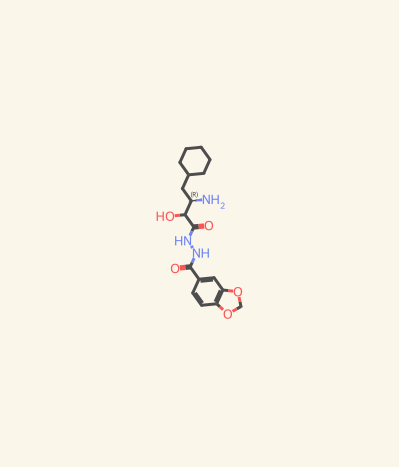 N[C@H](CC1CCCCC1)C(O)C(=O)NNC(=O)c1ccc2c(c1)OCO2